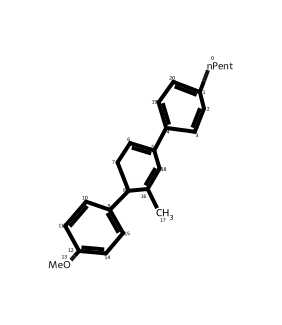 CCCCCc1ccc(C2=CCC(c3ccc(OC)cc3)C(C)=C2)cc1